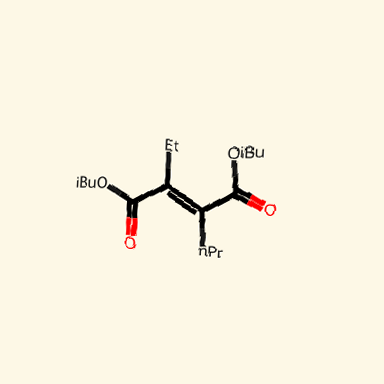 CCCC(C(=O)OCC(C)C)=C(CC)C(=O)OCC(C)C